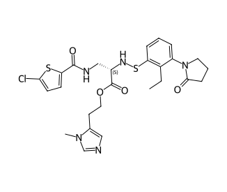 CCc1c(SN[C@@H](CNC(=O)c2ccc(Cl)s2)C(=O)OCCc2cncn2C)cccc1N1CCCC1=O